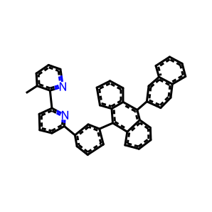 Cc1cccnc1-c1cccc(-c2cccc(-c3c4ccccc4c(-c4ccc5ccccc5c4)c4ccccc34)c2)n1